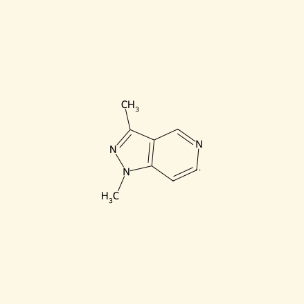 Cc1nn(C)c2c[c]ncc12